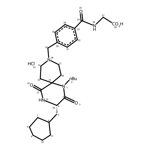 CCCCN1C(=O)[C@H](CC2CCCCC2)NC(=O)C12CCN(Cc1ccc(C(=O)NCC(=O)O)cc1)CC2.Cl